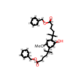 COc1cc(C(C)(C)CCCC(=O)OCc2ccccc2)c(O)cc1C(C)(C)CCCC(=O)OCc1ccccc1